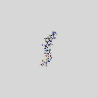 COC(=O)Nc1nc(C)c(S(=O)(=O)N2CCN(CC(C)Nc3ncnc4c(-c5cncc(N)c5)cccc34)CC2)s1